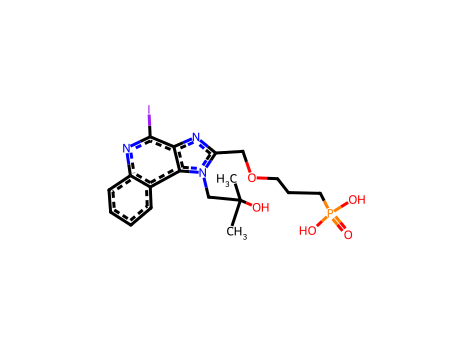 CC(C)(O)Cn1c(COCCCP(=O)(O)O)nc2c(I)nc3ccccc3c21